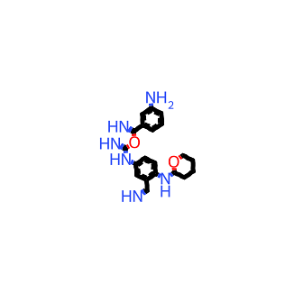 N=Cc1cc(NC(=N)OC(=N)c2cccc(N)c2)ccc1NC1CCCCO1